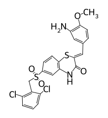 COc1ccc(C=C2Sc3ccc(S(=O)(=O)Cc4c(Cl)cccc4Cl)cc3NC2=O)cc1N